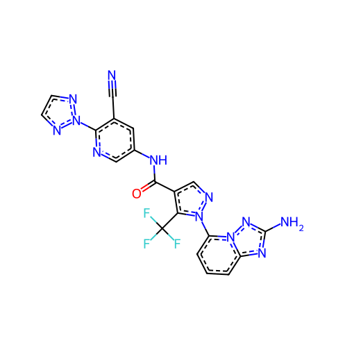 N#Cc1cc(NC(=O)c2cnn(-c3cccc4nc(N)nn34)c2C(F)(F)F)cnc1-n1nccn1